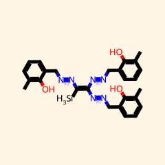 Cc1cccc(C/N=N/C([SiH3])=C(/N=N/Cc2cccc(C)c2O)/N=N/Cc2cccc(C)c2O)c1O